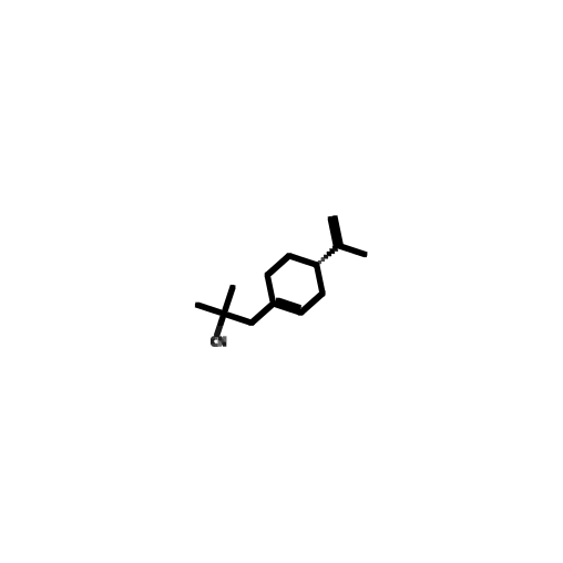 C=C(C)[C@@H]1CC=C(CC(C)(C)C#N)CC1